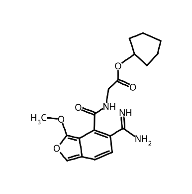 COc1occ2ccc(C(=N)N)c(C(=O)NCC(=O)OC3CCCCC3)c12